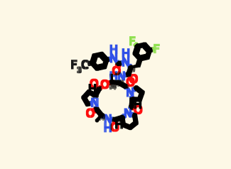 C[C@@H]1NC(=O)[C@@H]2CCCCN2C(=O)[C@@H]2CCCN2C(=O)[C@@H](NC(=O)[C@H](Cc2cc(F)cc(F)c2)NC(=O)Nc2ccc(C(F)(F)F)cc2)[C@H](C)OC(=O)[C@@H]2CCCN2C1=O